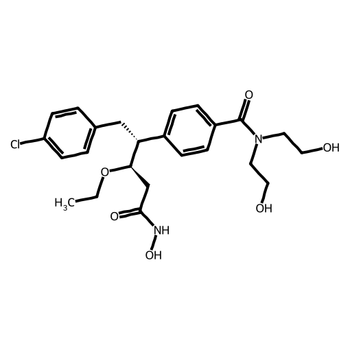 CCO[C@H](CC(=O)NO)[C@H](Cc1ccc(Cl)cc1)c1ccc(C(=O)N(CCO)CCO)cc1